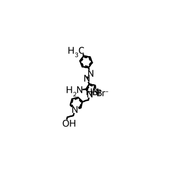 Br.Cc1ccc(N=Nc2cnn(Cc3ccc[n+](CCO)c3)c2N)cc1.[Br-]